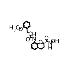 COc1ccccc1COC(=O)Nc1cccc2c1O[C@H](C(=O)NO)CC2